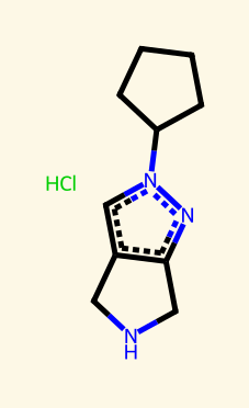 Cl.c1c2c(nn1C1CCCC1)CNC2